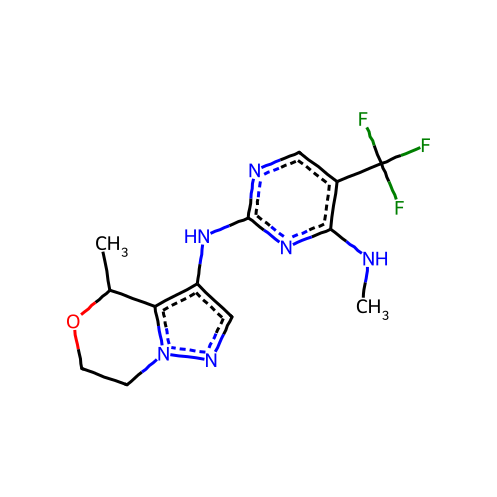 CNc1nc(Nc2cnn3c2C(C)OCC3)ncc1C(F)(F)F